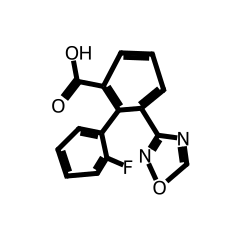 O=C(O)c1cccc(-c2ncon2)c1-c1ccccc1F